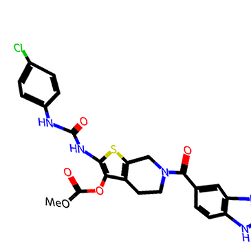 COC(=O)Oc1c(NC(=O)Nc2ccc(Cl)cc2)sc2c1CCN(C(=O)c1ccc3[nH]nnc3c1)C2